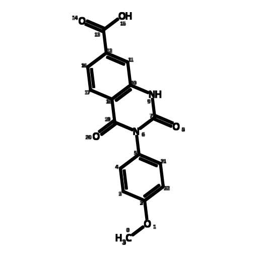 COc1ccc(-n2c(=O)[nH]c3cc(C(=O)O)ccc3c2=O)cc1